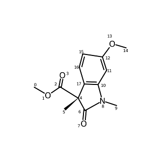 COC(=O)[C@@]1(C)C(=O)N(C)c2cc(OC)ccc21